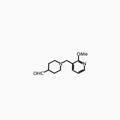 COc1ncccc1CN1CCC(C=O)CC1